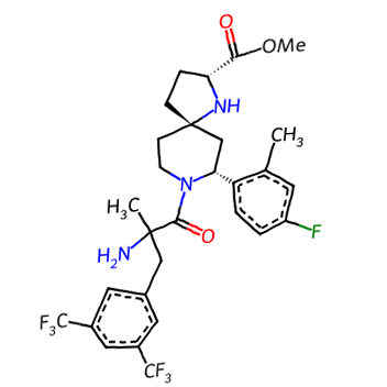 COC(=O)[C@H]1CC[C@@]2(CCN(C(=O)C(C)(N)Cc3cc(C(F)(F)F)cc(C(F)(F)F)c3)[C@@H](c3ccc(F)cc3C)C2)N1